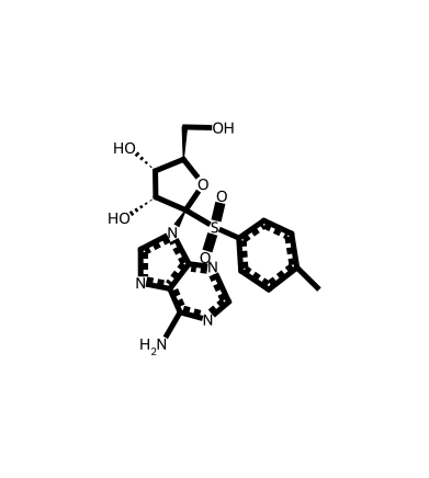 Cc1ccc(S(=O)(=O)[C@@]2(n3cnc4c(N)ncnc43)O[C@H](CO)[C@@H](O)[C@H]2O)cc1